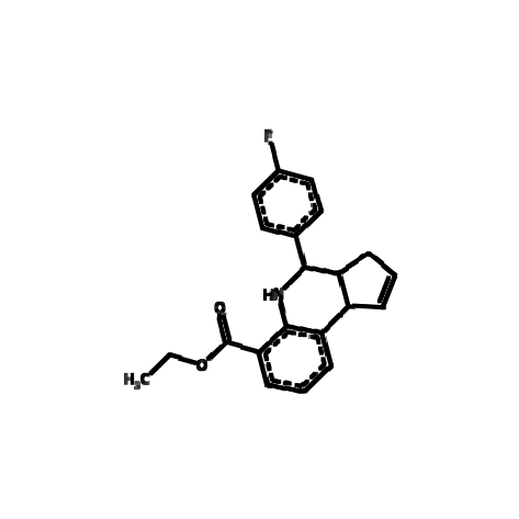 CCOC(=O)c1cccc2c1NC(c1ccc(F)cc1)C1CC=CC21